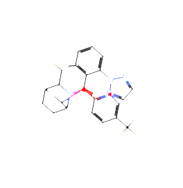 Cc1cccc(-n2nccn2)c1C(=O)N1C(CF)C2CCC1C(Oc1ccc(C(F)(F)F)cn1)C2